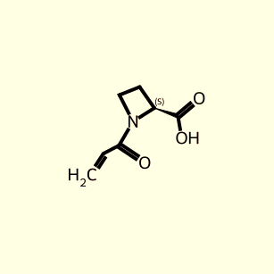 C=CC(=O)N1CC[C@H]1C(=O)O